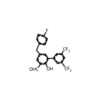 O=Cc1cc(Cc2ccc(F)cc2)cc(-c2cc(C(F)(F)F)cc(C(F)(F)F)c2)c1O